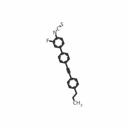 CCCc1ccc(C#Cc2ccc(-c3ccc(N=C=S)c(F)c3)cc2)cc1